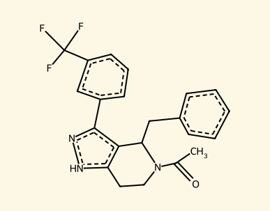 CC(=O)N1CCc2[nH]nc(-c3cccc(C(F)(F)F)c3)c2C1Cc1ccccc1